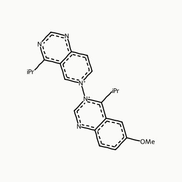 COc1ccc2nc[n+](-[n+]3ccc4ncnc(C(C)C)c4c3)c(C(C)C)c2c1